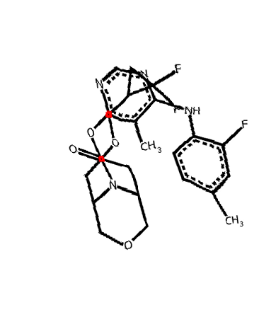 Cc1ccc(Nc2ncnc(OC3CC4COCC(C3)N4C(=O)OCC3CC3(F)F)c2C)c(F)c1